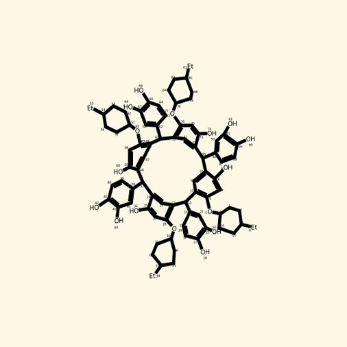 CCC1CCC(Oc2cc(O)c3cc2C(c2ccc(O)c(O)c2)c2cc(c(O)cc2OC2CCC(CC)CC2)C(c2ccc(O)c(O)c2)c2cc(c(OC4CCC(CC)CC4)cc2O)C(c2ccc(O)c(O)c2)c2cc(c(O)cc2OC2CCC(CC)CC2)C3c2ccc(O)c(O)c2)CC1